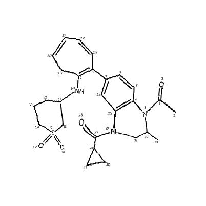 CC(=O)N1c2ccc(C3=C(NC4CCCS(=O)(=O)C4)CC=CC=C3)cc2N(C(=O)C2CC2)CC1C